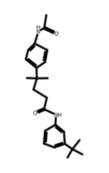 CC(=O)Nc1ccc(C(C)(C)CCC(=O)Nc2cccc(C(C)(C)C)c2)cc1